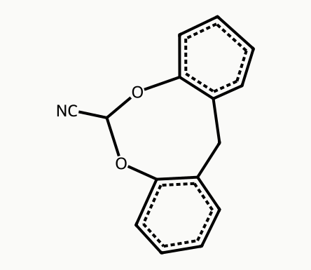 N#CC1Oc2ccccc2Cc2ccccc2O1